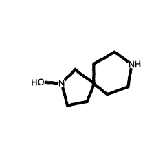 ON1CCC2(CCNCC2)C1